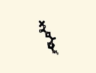 CC(C1CN(C(=O)OC(C)(C)C)C1)n1cc(N)cn1